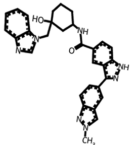 Cn1cc2cc(-c3n[nH]c4ccc(C(=O)NC5CCCC(O)(Cn6cnc7ccccc76)C5)cc34)ccc2n1